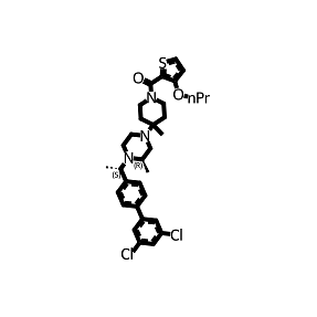 CCCOc1ccsc1C(=O)N1CCC(C)(N2CCN([C@@H](C)c3ccc(-c4cc(Cl)cc(Cl)c4)cc3)[C@H](C)C2)CC1